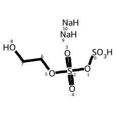 O=S(=O)(O)OS(=O)(=O)OCCO.[NaH].[NaH]